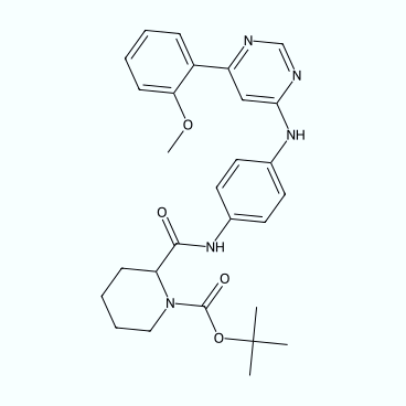 COc1ccccc1-c1cc(Nc2ccc(NC(=O)C3CCCCN3C(=O)OC(C)(C)C)cc2)ncn1